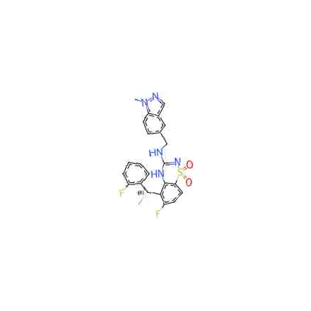 C[C@H](c1ccccc1F)c1c(F)ccc2c1NC(NCc1ccc3c(cnn3C)c1)=NS2(=O)=O